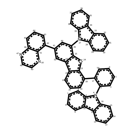 c1ccc(-n2c3ccccc3c3ccccc32)c(-c2cccc3c2sc2c(-n4c5ccccc5c5ccccc54)cc(-c4cccc5nccnc45)cc23)c1